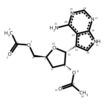 CC(=O)OC[C@@H]1C[C@@H](OC(C)=O)[C@@H](c2c[nH]c3ncnc(N)c23)O1